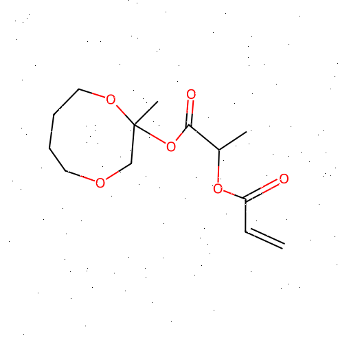 C=CC(=O)OC(C)C(=O)OC1(C)COCCCCO1